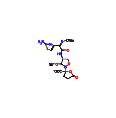 CO/N=C(\C(=O)N[C@H]1CON(C2(C(=O)[O-])CCC(=O)O2)C1=O)c1csc(N)n1.[Na+]